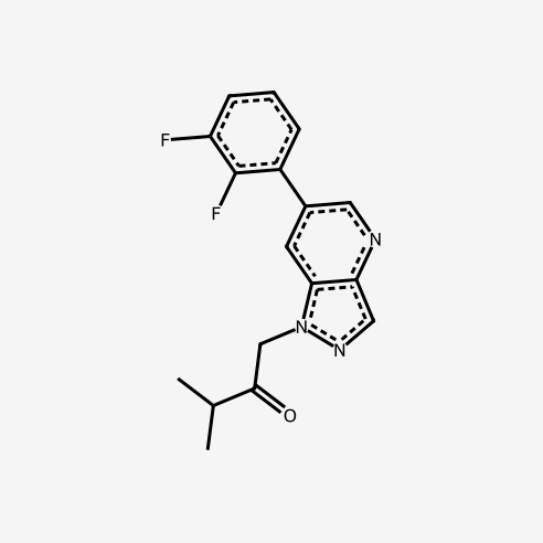 CC(C)C(=O)Cn1ncc2ncc(-c3cccc(F)c3F)cc21